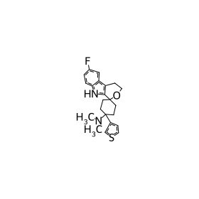 CN(C)C1(c2ccsc2)CCC2(CC1)OCCc1c2[nH]c2ccc(F)cc12